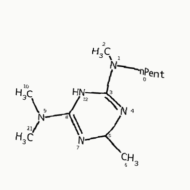 CCCCCN(C)C1=NC(C)N=C(N(C)C)N1